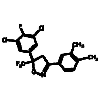 Cc1ccc(C2=NOC(c3cc(Cl)c(F)c(Cl)c3)(C(F)(F)F)C2)cc1C